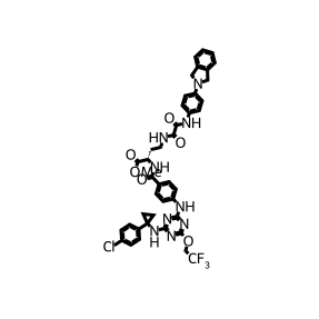 COC(=O)[C@H](CCNC(=O)C(=O)Nc1ccc(N2Cc3ccccc3C2)cc1)NC(=O)c1ccc(Nc2nc(NC3(c4ccc(Cl)cc4)CC3)nc(OCC(F)(F)F)n2)cc1